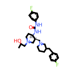 CC(O)CN1CC[C@@H](NC(=O)Nc2ccc(F)cc2)[C@@H](CN2CCCC(Cc3ccc(F)cc3)C2)C1